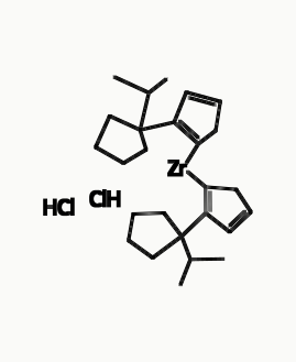 CC(C)C1(C2=[C]([Zr][C]3=C(C4(C(C)C)CCCC4)C=CC3)CC=C2)CCCC1.Cl.Cl